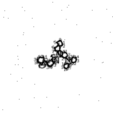 c1ccc2c(c1)ccc1c2c2ccc(-n3c4ccccc4c4ccccc43)cc2n1-c1nc2ccc3oc4ccccc4c3c2s1